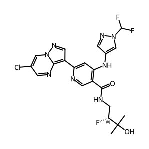 CC(C)(O)[C@H](F)CNC(=O)c1cnc(-c2cnn3cc(Cl)cnc23)cc1Nc1cnn(C(F)F)c1